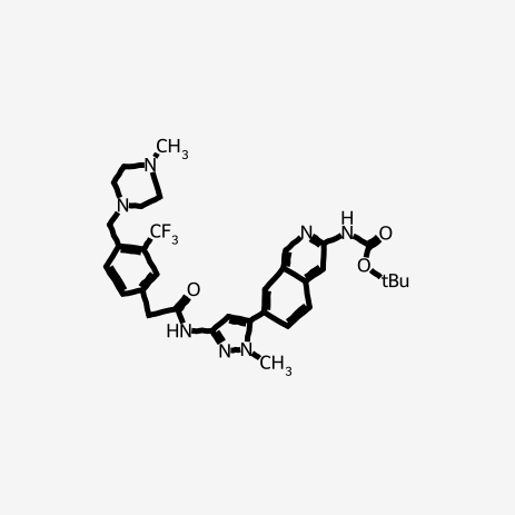 CN1CCN(Cc2ccc(CC(=O)Nc3cc(-c4ccc5cc(NC(=O)OC(C)(C)C)ncc5c4)n(C)n3)cc2C(F)(F)F)CC1